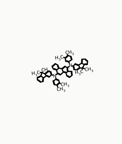 Cc1ccc(N(c2ccc3c(c2)-c2ccccc2C3(C)C)c2cc3c4ccccc4c(N(c4ccc(C)c(C)c4)c4ccc5c(c4)-c4ccccc4C5(C)C)cc3c3ccccc23)cc1C